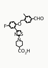 Cc1cc(C=O)ccc1COc1ccc(F)cc1-c1csc(N2CCC(C(=O)O)CC2)n1